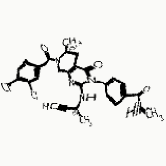 C#C[C@H](C)Nc1nc2c(c(=O)n1-c1ccc(C(=O)NC)cc1)C[C@H](C)N(C(=O)c1ccc(Cl)c(Cl)c1)C2